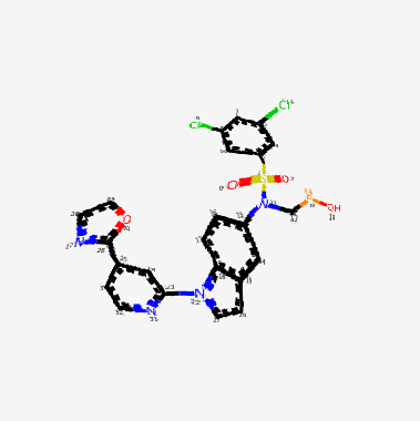 O=S(=O)(c1cc(Cl)cc(Cl)c1)N(CPO)c1ccc2c(ccn2-c2cc(-c3ncco3)ccn2)c1